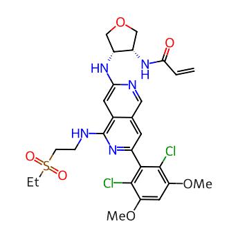 C=CC(=O)N[C@H]1COC[C@H]1Nc1cc2c(NCCS(=O)(=O)CC)nc(-c3c(Cl)c(OC)cc(OC)c3Cl)cc2cn1